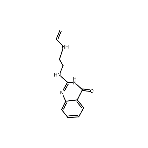 C=CNCCNc1nc2ccccc2c(=O)[nH]1